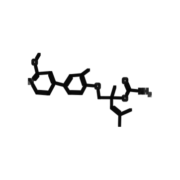 COc1cc(-c2ccc(OCC(C)(C=C(C)C)OC(N)=O)c(C)c2)ccn1